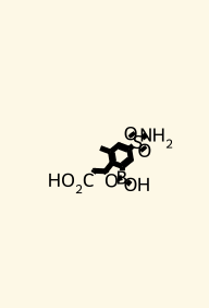 Cc1cc(S(N)(=O)=O)cc2c1C(CC(=O)O)OB2O